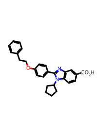 O=C(O)c1ccc2c(c1)nc(-c1ccc(OCCc3ccccc3)cc1)n2C1CCCC1